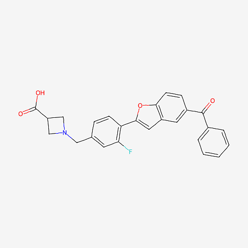 O=C(c1ccccc1)c1ccc2oc(-c3ccc(CN4CC(C(=O)O)C4)cc3F)cc2c1